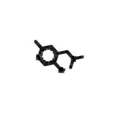 Cc1cc(CN(C)C)c(Br)cn1